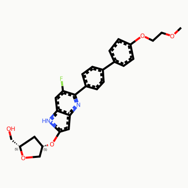 COCCOc1ccc(-c2ccc(-c3nc4cc(O[C@@H]5CO[C@H](CO)C5)[nH]c4cc3F)cc2)cc1